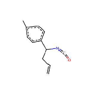 C=CCC(N=C=O)c1ccc(C)cc1